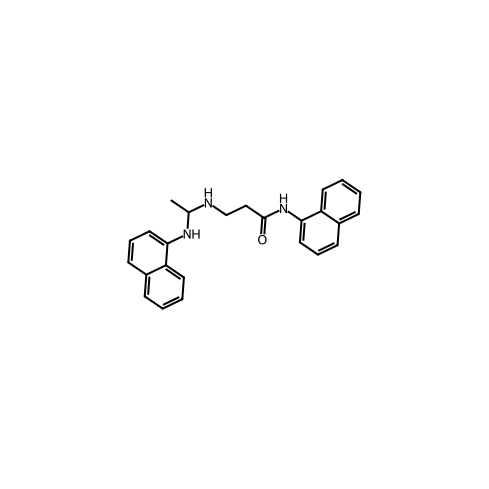 CC(NCCC(=O)Nc1cccc2ccccc12)Nc1cccc2ccccc12